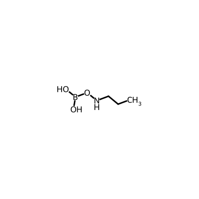 CCCNOB(O)O